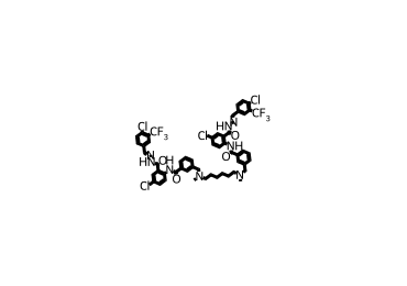 CN(CCCCCCN(C)Cc1cccc(C(=O)Nc2ccc(Cl)cc2C(=O)NN=Cc2ccc(Cl)c(C(F)(F)F)c2)c1)Cc1cccc(C(=O)Nc2ccc(Cl)cc2C(=O)NN=Cc2ccc(Cl)c(C(F)(F)F)c2)c1